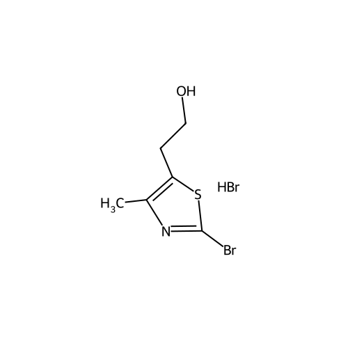 Br.Cc1nc(Br)sc1CCO